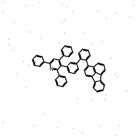 c1ccc(-c2cc(-c3ccccc3)c(-c3cccc(-c4ccccc4-c4ccc5c6c(cccc46)-c4ccccc4-5)c3)c(-c3ccccc3)n2)cc1